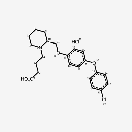 Cl.O=C(O)CCCN1CCCC[C@H]1COc1ccc(Oc2ccc(Cl)cc2)cc1